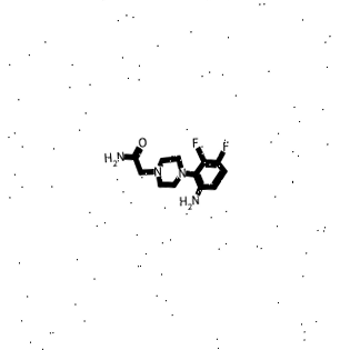 NC(=O)CN1CCN(c2c(N)ccc(F)c2F)CC1